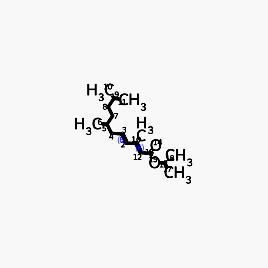 CC(/C=C/CC(C)CCC(C)C)=C\C(=O)OC(C)C